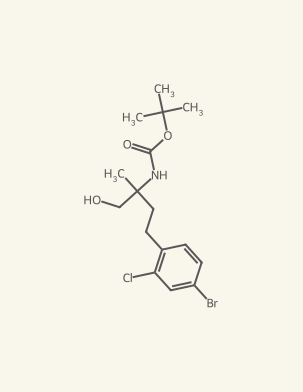 CC(CO)(CCc1ccc(Br)cc1Cl)NC(=O)OC(C)(C)C